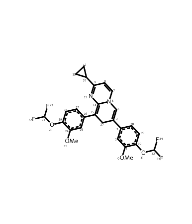 COc1cc(C2=CN3C=CC(C4CC4)=NC3=C(c3ccc(OC(F)F)c(OC)c3)C2)ccc1OC(F)F